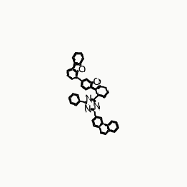 C1=C(c2nc(-c3ccccc3)nc(-c3ccc4ccc5ccccc5c4c3)n2)c2c(oc3cc(-c4cccc5c4oc4ccccc45)ccc23)CC1